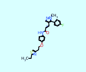 CCc1nc(CCOc2ccc(NC(=O)/C=C/c3cnn(C)c3-c3ccc(F)cc3)cc2)cs1